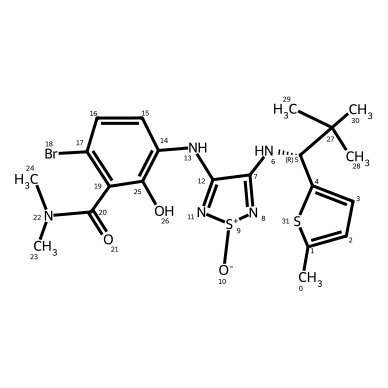 Cc1ccc([C@H](Nc2n[s+]([O-])nc2Nc2ccc(Br)c(C(=O)N(C)C)c2O)C(C)(C)C)s1